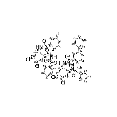 Cc1ccc(F)c(S(=O)(=O)Nc2cc(Cl)c(Cl)cc2SNS(=O)(=O)c2ccccc2)c1.O=S(=O)(Nc1cc(Cl)c(Cl)cc1NS(=O)(=O)c1cccs1)c1cccc(-c2ccccc2)c1